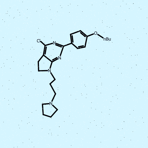 CCCCOc1ccc(-c2nc(Cl)c3c(n2)N(CCCN2CCCC2)CC3)cc1